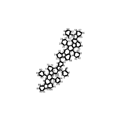 Cc1ccccc1-n1c2ccc(-c3cccc4c5cc6c(-c7ccccc7)c7c8cc9c(c%10cccc(c7c(-c7ccccc7)c6c6cccc(c34)c56)c8%10)c3ccccc3n9-c3ccccc3C)cc2c2c3cccc4c5c(-c6ccccc6)c6cc7c8ccccc8c8cccc(c6c(-c6ccccc6)c5c(cc21)c43)c87